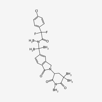 BN1C(=O)C(N2Cc3cc(C(B)(B)N(B)C(=O)C(F)(F)c4ccc(Cl)cc4)ccc3C2=O)CC(B)(B)C1=O